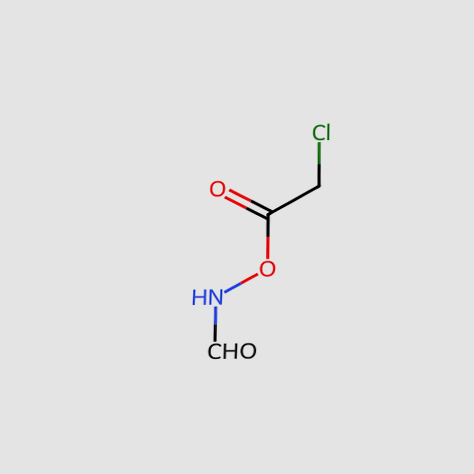 O=CNOC(=O)CCl